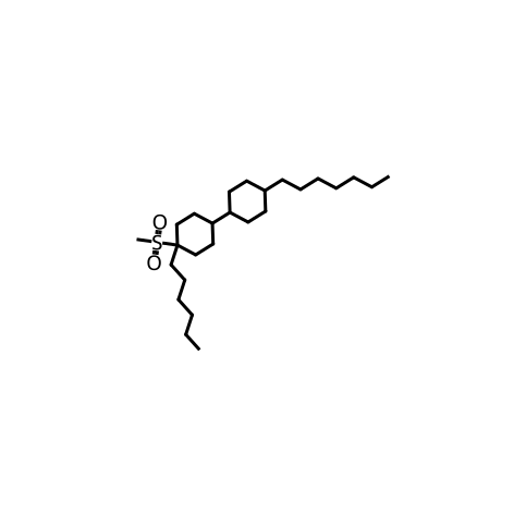 CCCCCCCC1CCC(C2CCC(CCCCCC)(S(C)(=O)=O)CC2)CC1